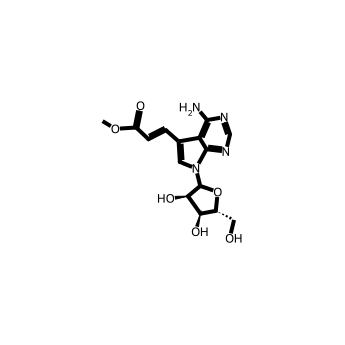 COC(=O)/C=C/c1cn(C2O[C@H](CO)[C@@H](O)[C@H]2O)c2ncnc(N)c12